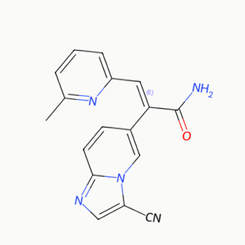 Cc1cccc(/C=C(/C(N)=O)c2ccc3ncc(C#N)n3c2)n1